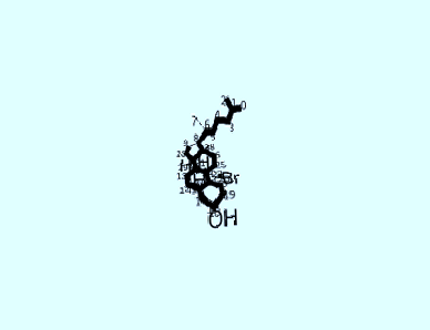 CC(C)CCC[C@@H](C)[C@H]1CC[C@H]2[C@@H]3CC=C4C[C@@H](O)CC[C@]4(CBr)[C@H]3CC[C@]12C